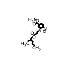 CCCCC(CC)COC(=O)CCSc1cc(C(=O)OC)ccc1N=O